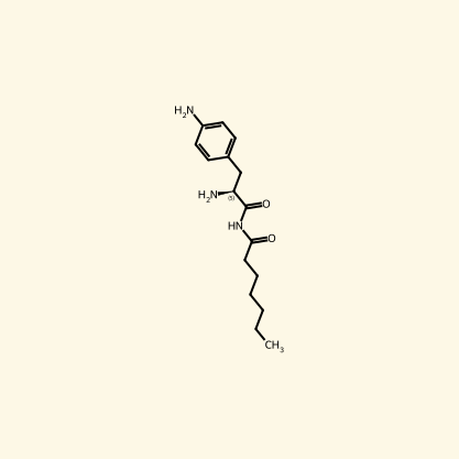 CCCCCCC(=O)NC(=O)[C@@H](N)Cc1ccc(N)cc1